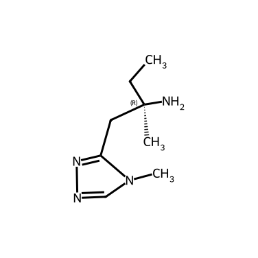 CC[C@@](C)(N)Cc1nncn1C